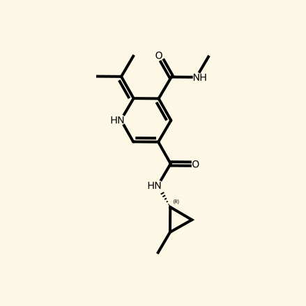 CNC(=O)C1=CC(C(=O)N[C@@H]2CC2C)=CNC1=C(C)C